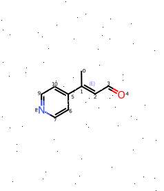 C/C(=C\C=O)c1ccncc1